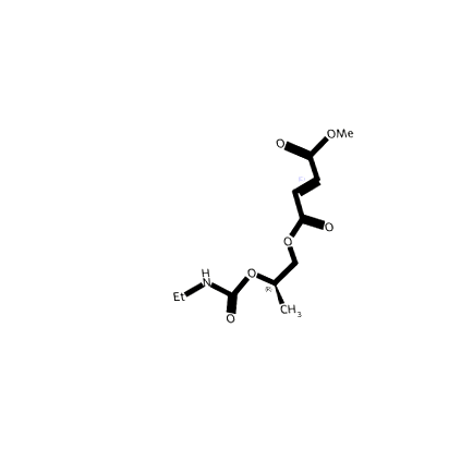 CCNC(=O)O[C@H](C)COC(=O)/C=C/C(=O)OC